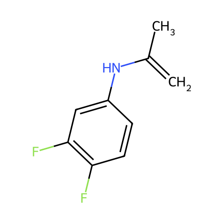 C=C(C)Nc1ccc(F)c(F)c1